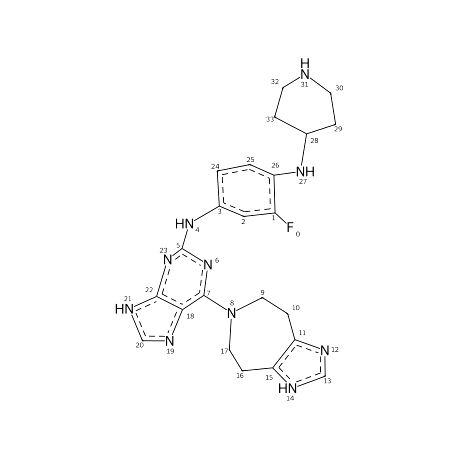 Fc1cc(Nc2nc(N3CCc4nc[nH]c4CC3)c3nc[nH]c3n2)ccc1NC1CCNCC1